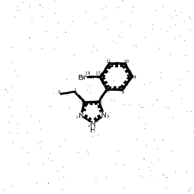 CCc1n[nH]nc1-c1ccccc1Br